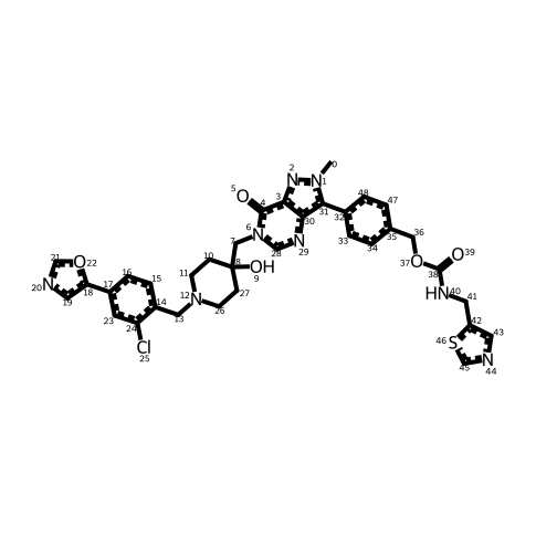 Cn1nc2c(=O)n(CC3(O)CCN(Cc4ccc(-c5cnco5)cc4Cl)CC3)cnc2c1-c1ccc(COC(=O)NCc2cncs2)cc1